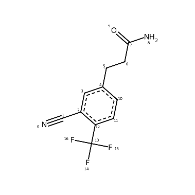 N#Cc1cc([CH]CC(N)=O)ccc1C(F)(F)F